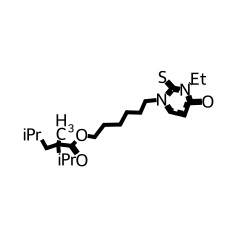 CCn1c(=O)ccn(CCCCCCOC(=O)C(C)(CC(C)C)C(C)C)c1=S